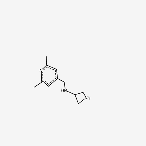 Cc1cc(CNC2CNC2)cc(C)n1